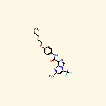 CCCCCOc1ccc(NC(=O)c2ncn3c(C(F)(F)F)cc(C)nc23)cc1